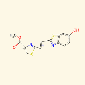 COC(=O)[C@H]1CSC(/C=C/c2nc3ccc(O)cc3s2)=N1